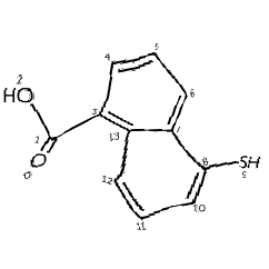 O=C(O)c1cccc2c(S)cccc12